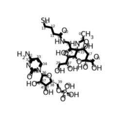 CC(=O)N[C@]1(C(=O)CNC(=O)CCCS)[C@@H](O)C[C@@](O)(C(=O)O)O[C@H]1[C@H](O)[C@H](O)CO.Nc1ccn([C@@H]2O[C@H](COP(=O)(O)O)[C@@H](O)[C@H]2O)c(=O)n1